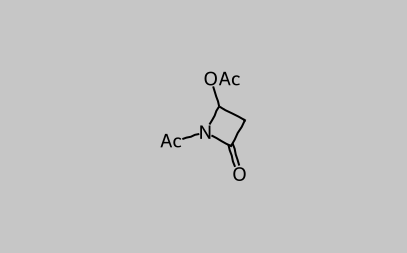 CC(=O)OC1CC(=O)N1C(C)=O